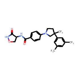 O=C(NC1CONC1=O)c1ccc(N2CCC(c3cc(C(F)(F)F)cc(C(F)(F)F)c3)(C(F)(F)F)C2)cc1